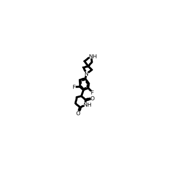 O=C1CCC(c2c(F)cc(N3CC4(CNC4)C3)cc2F)C(=O)N1